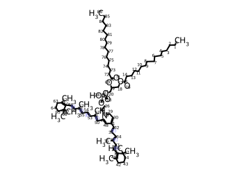 CCCCCCCCCCCCCCCC(=O)OCC(COP(=O)(O)OCCN1CC=C(/C=C/C=C(C)/C=C/C2=C(C)CCCC2(C)C)C=C1/C=C(C)/C=C/C=C(C)/C=C/C1=C(C)CCCC1(C)C)OC(=O)CCCCCCCCCCCCCCC